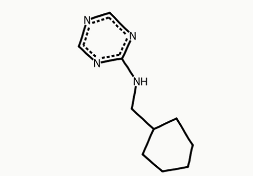 c1ncnc(NCC2CCCCC2)n1